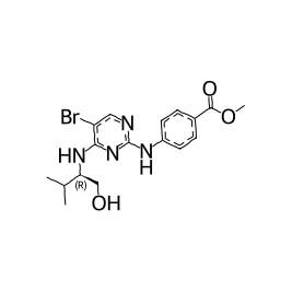 COC(=O)c1ccc(Nc2ncc(Br)c(N[C@@H](CO)C(C)C)n2)cc1